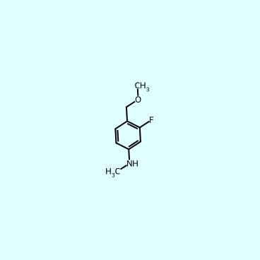 CNc1ccc(COC)c(F)c1